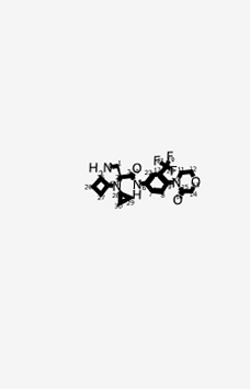 NC[C@@H](C(=O)Nc1ccc(N2CCOCC2=O)c(C(F)(F)F)c1)N(C1CCC1)C1CC1